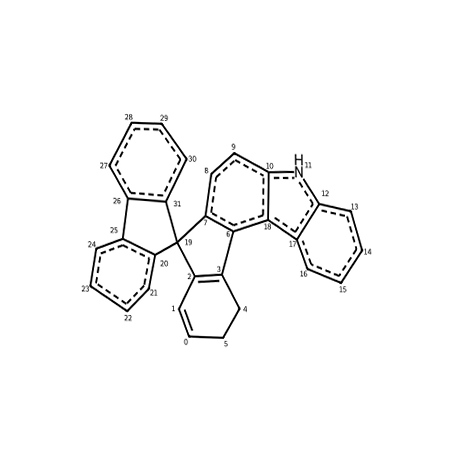 C1=CC2=C(CC1)c1c(ccc3[nH]c4ccccc4c13)C21c2ccccc2-c2ccccc21